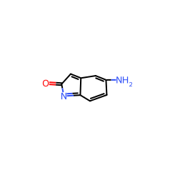 Nc1ccc2c(c1)=CC(=O)N=2